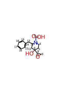 O=C(O)N1CCC(O)(C2CO2)CC1Cc1ccccc1